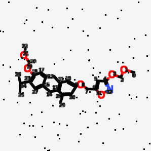 COCOc1cc(COc2cc(C)c(Cc3ccc(OCOC)c(C(C)C)c3)c(C)c2)on1